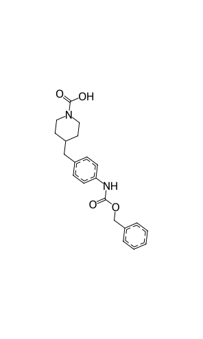 O=C(Nc1ccc(CC2CCN(C(=O)O)CC2)cc1)OCc1ccccc1